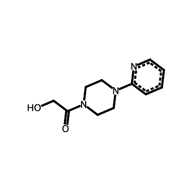 O=C(CO)N1CCN(c2ccccn2)CC1